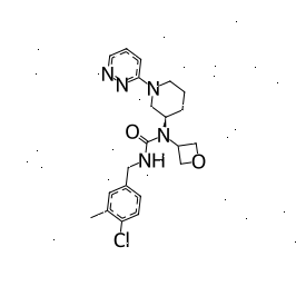 Cc1cc(CNC(=O)N(C2COC2)[C@@H]2CCCN(c3cccnn3)C2)ccc1Cl